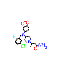 CC(CC(N)=O)N1CCC(N(Cc2cc(Cl)ccc2F)c2ccc3c(c2)OCO3)CC1